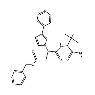 CNC(=O)C(NC(=O)C(CC(=O)OCc1ccccc1)n1ccc(-c2ccncc2)c1)C(C)(C)C